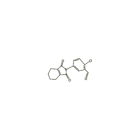 O=Cc1cc(N2C(=O)C3=C(CCCC3)C2=O)ccc1Cl